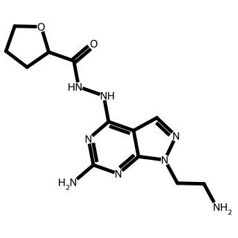 NCCn1ncc2c(NNC(=O)C3CCCO3)nc(N)nc21